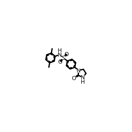 Cc1ccc(C)c(NS(=O)(=O)c2ccc(N3CCNC3=O)cc2)c1